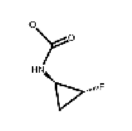 [O]C(=O)N[C@@H]1C[C@H]1F